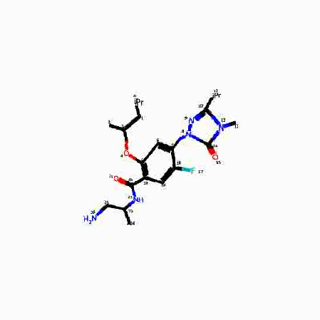 CC(C)CC(C)Oc1cc(-n2nc(C(C)C)n(C)c2=O)c(F)cc1C(=O)NC(C)CN